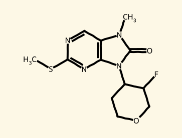 CSc1ncc2c(n1)n(C1CCOCC1F)c(=O)n2C